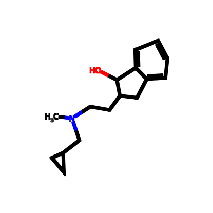 CN(CCC1Cc2ccccc2C1O)CC1CC1